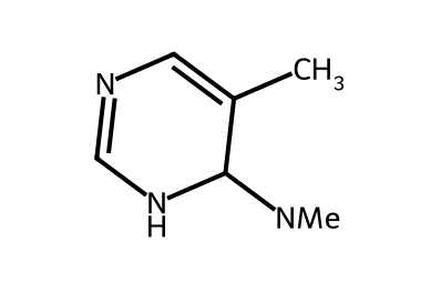 CNC1NC=NC=C1C